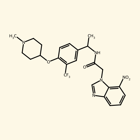 CC(NC(=O)Cn1cnc2cccc([N+](=O)[O-])c21)c1ccc(OC2CCN(C)CC2)c(C(F)(F)F)c1